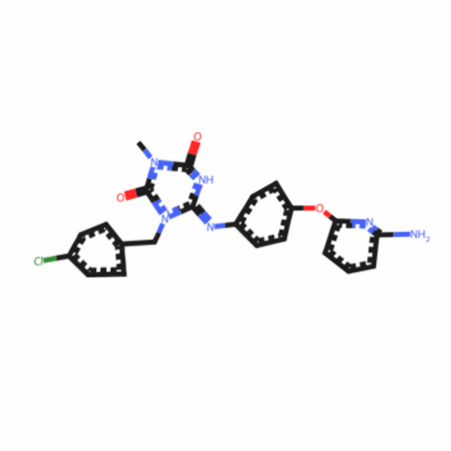 Cn1c(=O)[nH]/c(=N\c2ccc(Oc3cccc(N)n3)cc2)n(Cc2ccc(Cl)cc2)c1=O